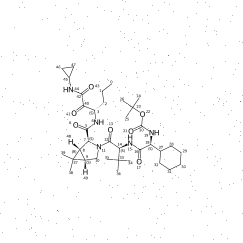 CCC[C@H](NC(=O)[C@@H]1[C@@H]2[C@H](CN1C(=O)[C@@H](NC(=O)[C@@H](NC(=O)OC(C)(C)C)C1CCCCC1)C(C)(C)C)C2(C)C)C(=O)C(=O)NC1CC1